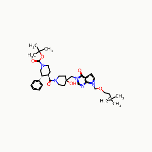 CC(C)(C)OC(=O)N1CC[C@@H](C(=O)N2CCC(O)(Cn3cnc4c(ccn4COCC[Si](C)(C)C)c3=O)CC2)[C@H](c2ccccc2)C1